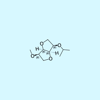 CO[C@@H]1CO[C@H]2[C@@H]1OC[C@H]2OC(C)C